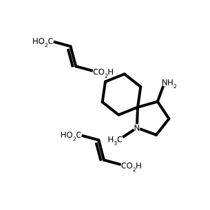 CN1CCC(N)C12CCCCC2.O=C(O)C=CC(=O)O.O=C(O)C=CC(=O)O